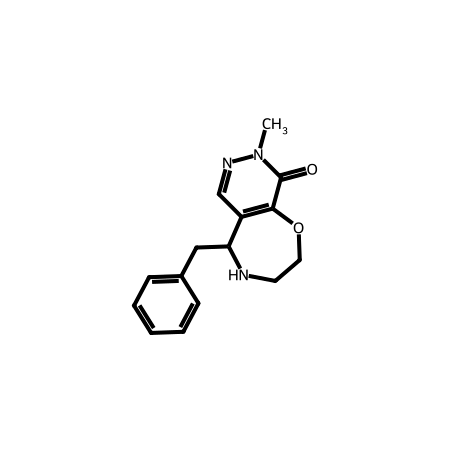 Cn1ncc2c(c1=O)OCCNC2Cc1ccccc1